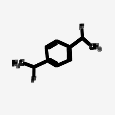 CC(F)c1ccc(C(C)F)cc1